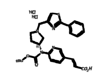 CC(C)(C)OC(=O)N(c1ccc(C=CC(=O)O)cn1)[C@@H]1CCN(Cc2csc(-c3ccccc3)n2)C1.Cl.Cl